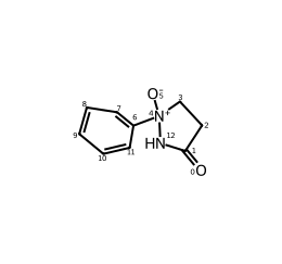 O=C1CC[N+]([O-])(c2ccccc2)N1